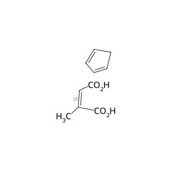 C/C(=C/C(=O)O)C(=O)O.C1=CCC=C1